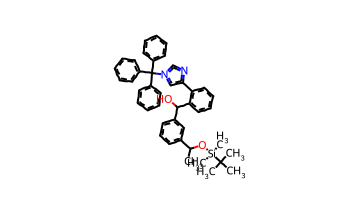 CC(O[Si](C)(C)C(C)(C)C)c1cccc(C(O)c2ccccc2-c2cn(C(c3ccccc3)(c3ccccc3)c3ccccc3)cn2)c1